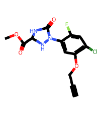 C#CCOc1cc(N2NC(C(=O)OC)NC2=O)c(F)cc1Cl